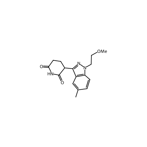 COCCn1nc(C2CCC(=O)NC2=O)c2cc(C)ccc21